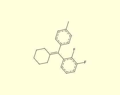 Cc1ccc(C(=C2CCCCC2)c2cccc(F)c2F)cc1